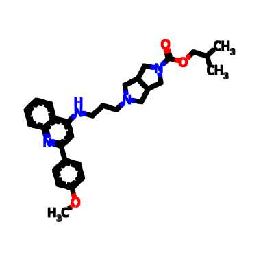 COc1ccc(-c2cc(NCCCN3CC4CN(C(=O)OCC(C)C)CC4C3)c3ccccc3n2)cc1